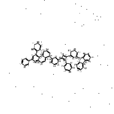 C1=CC(c2cc(-c3ccccc3)nc3ccc4c(-c5cccc(C6=[N+](c7ccccc7)C(C7=CC(n8c9ccccc9c9ccccc98)=CCC7)=C6)c5)cccc4c23)=CCC1